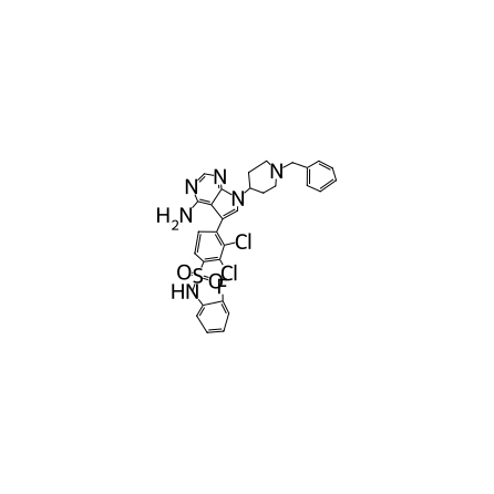 Nc1ncnc2c1c(-c1ccc(S(=O)(=O)Nc3ccccc3F)c(Cl)c1Cl)cn2C1CCN(Cc2ccccc2)CC1